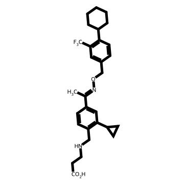 C/C(=N\OCc1ccc(C2CCCCC2)c(C(F)(F)F)c1)c1ccc(CNCCC(=O)O)c(C2CC2)c1